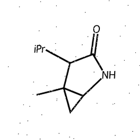 CC(C)C1C(=O)NC2CC21C